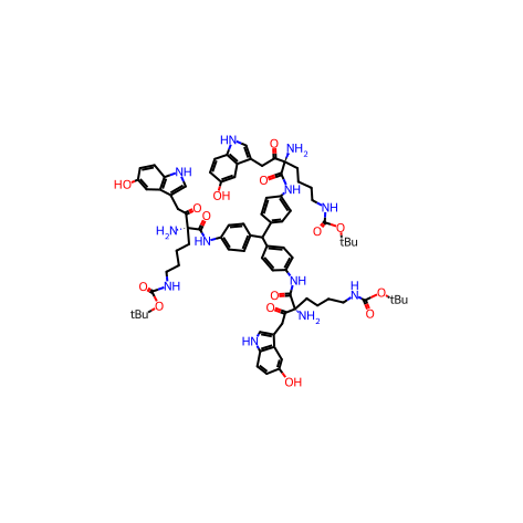 CC(C)(C)OC(=O)NCCCC[C@@](N)(C(=O)Cc1c[nH]c2ccc(O)cc12)C(=O)Nc1ccc(C(c2ccc(NC(=O)[C@@](N)(CCCCNC(=O)OC(C)(C)C)C(=O)Cc3c[nH]c4ccc(O)cc34)cc2)c2ccc(NC(=O)[C@@](N)(CCCCNC(=O)OC(C)(C)C)C(=O)Cc3c[nH]c4ccc(O)cc34)cc2)cc1